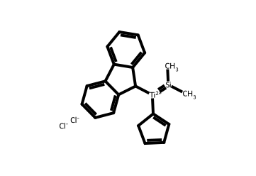 C[Si](C)=[Ti+2]([C]1=CC=CC1)[CH]1c2ccccc2-c2ccccc21.[Cl-].[Cl-]